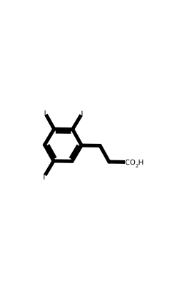 O=C(O)CCc1cc(I)cc(I)c1I